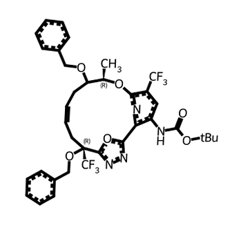 C[C@H]1Oc2nc(c(NC(=O)OC(C)(C)C)cc2C(F)(F)F)-c2nnc(o2)[C@@](OCc2ccccc2)(C(F)(F)F)CC=CCC1OCc1ccccc1